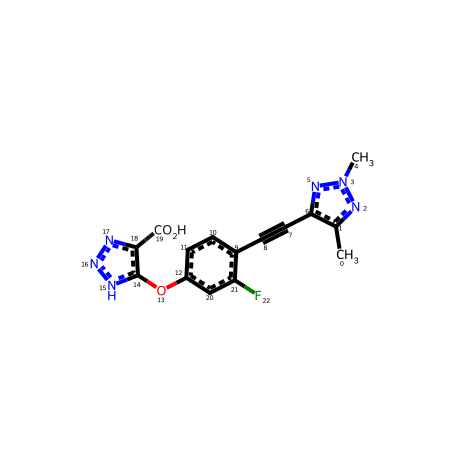 Cc1nn(C)nc1C#Cc1ccc(Oc2[nH]nnc2C(=O)O)cc1F